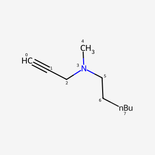 C#CCN(C)CCCCCC